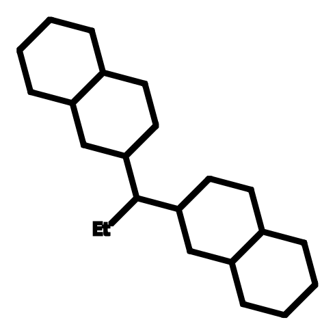 CCC(C1CCC2CCCCC2C1)C1CCC2CCCCC2C1